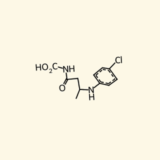 CC(CC(=O)NC(=O)O)Nc1ccc(Cl)cc1